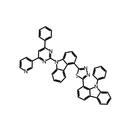 c1ccc(-c2cc(-c3cccnc3)nc(-n3c4ccccc4c4c(-c5nnc(-c6cccc7c8ccccc8n(-c8ccccc8)c67)s5)cccc43)n2)cc1